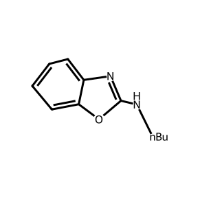 CCCCNc1nc2ccccc2o1